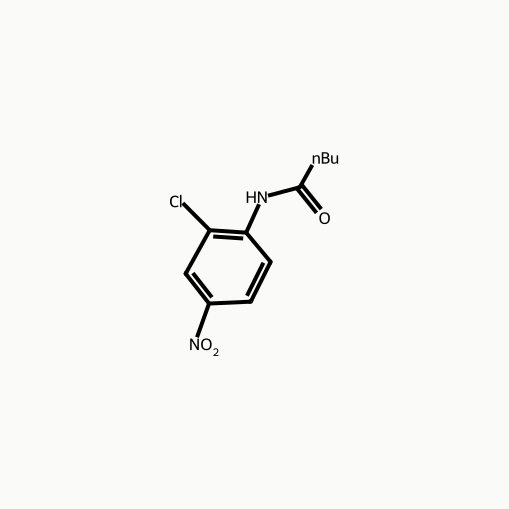 CCCCC(=O)Nc1ccc([N+](=O)[O-])cc1Cl